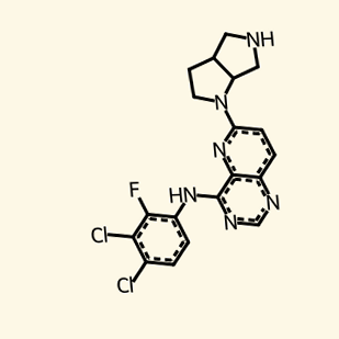 Fc1c(Nc2ncnc3ccc(N4CCC5CNCC54)nc23)ccc(Cl)c1Cl